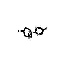 O=C1CC[C@]2(c3ncc(F)cn3)C[C@@H]2C1